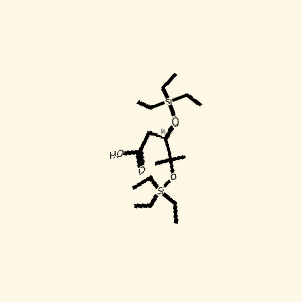 CC[Si](CC)(CC)O[C@H](CC(=O)O)C(C)(C)O[Si](CC)(CC)CC